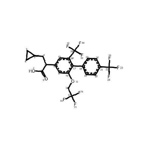 O=C(O)C(CC1CC1)c1cc(OCC(F)(F)F)c(-c2ccc(C(F)(F)F)cc2)c(C(F)(F)F)c1